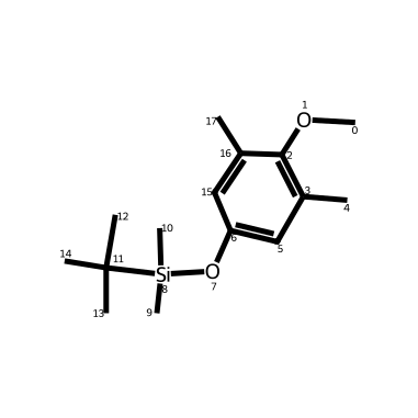 COc1c(C)cc(O[Si](C)(C)C(C)(C)C)cc1C